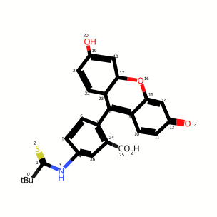 CC(C)(C)C(=S)Nc1ccc(C2=C3C=CC(=O)C=C3OC3C=C(O)C=CC23)c(C(=O)O)c1